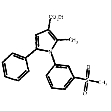 CCOC(=O)c1cc(-c2ccccc2)n(-c2cccc(S(C)(=O)=O)c2)c1C